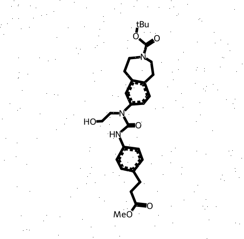 COC(=O)CCc1ccc(NC(=O)N(CCO)c2ccc3c(c2)CCN(C(=O)OC(C)(C)C)CC3)cc1